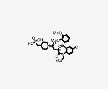 COc1cccc([C@H]2O[C@H](CC(=O)N3CCC(CP(=O)(O)O)CC3)C(=O)N(CC(C)(C)C)c3ccc(Cl)cc32)c1OC